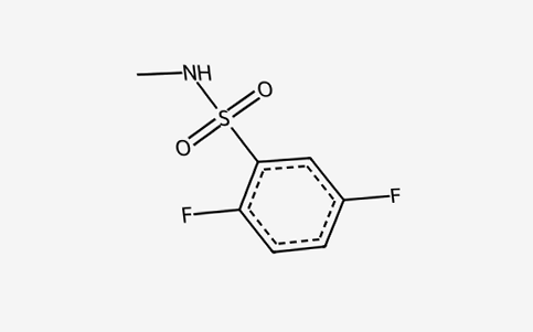 CNS(=O)(=O)c1cc(F)ccc1F